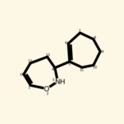 C1=CONC(C2=CCCCCC2)CC1